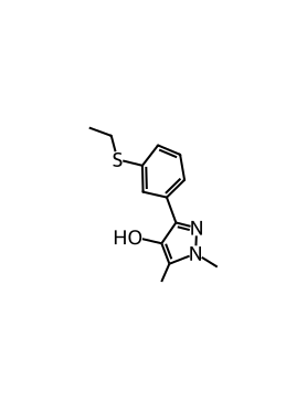 CCSc1cccc(-c2nn(C)c(C)c2O)c1